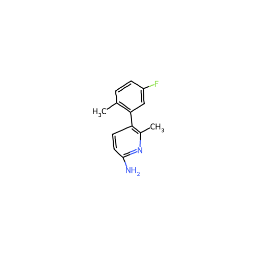 Cc1ccc(F)cc1-c1ccc(N)nc1C